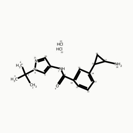 CC(C)(C)n1cc(NC(=O)c2cccc(C3CC3N)c2)cn1.Cl.Cl